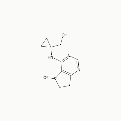 [O-][S+]1CCc2ncnc(NC3(CO)CC3)c21